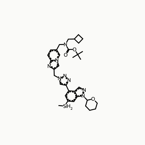 C[SiH2]c1cc(-c2cn(Cc3cn4cc(CN(CC5CCC5)C(=O)OC(C)(C)C)ccc4n3)nn2)c2cnn(C3CCCCO3)c2c1